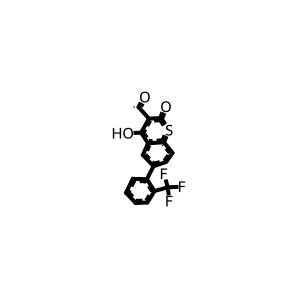 O=[C]c1c(O)c2cc(-c3ccccc3C(F)(F)F)ccc2sc1=O